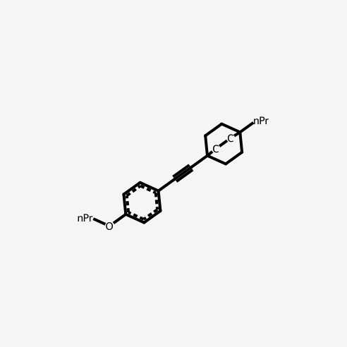 CCCOc1ccc(C#CC23CCC(CCC)(CC2)CC3)cc1